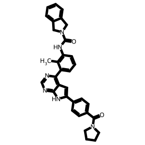 Cc1c(NC(=O)N2Cc3ccccc3C2)cccc1-c1ncnc2[nH]c(-c3ccc(C(=O)N4CCCC4)cc3)cc12